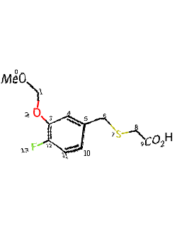 COCOc1cc(CSCC(=O)O)ccc1F